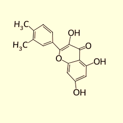 Cc1ccc(-c2oc3cc(O)cc(O)c3c(=O)c2O)cc1C